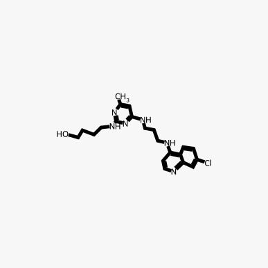 Cc1cc(NCCCNc2ccnc3cc(Cl)ccc23)nc(NCCCCO)n1